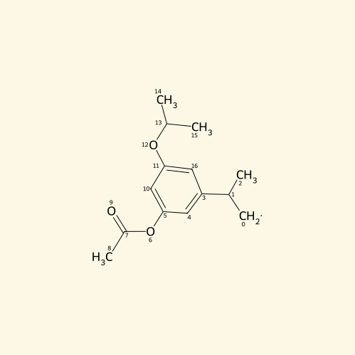 [CH2]C(C)c1cc(OC(C)=O)cc(OC(C)C)c1